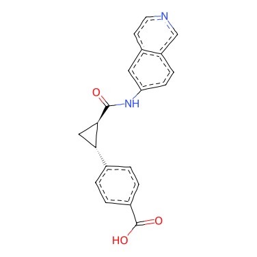 O=C(O)c1ccc([C@@H]2C[C@H]2C(=O)Nc2ccc3cnccc3c2)cc1